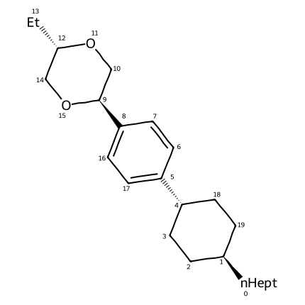 CCCCCCC[C@H]1CC[C@H](c2ccc([C@@H]3CO[C@@H](CC)CO3)cc2)CC1